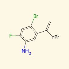 C=C(CCC)c1cc(N)c(F)cc1Br